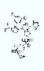 C[C@H]1CC2C[C@@H](S(=O)(=O)N[C@H]3CC4=C(c5ccn(C(F)F)n5)[C@H](c5ccc(F)cc5Cl)N=C(c5nccs5)N4C3)C[C@H]1[C@]2(O)CO